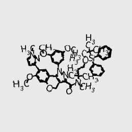 COc1cc(OC)cc(-n2nc(C(=O)N(C)C(C)(C)CCO[Si](c3ccccc3)(c3ccccc3)C(C)(C)C)c3c2-c2cc(-c4ccn(C)n4)c(OC)cc2OC3)c1